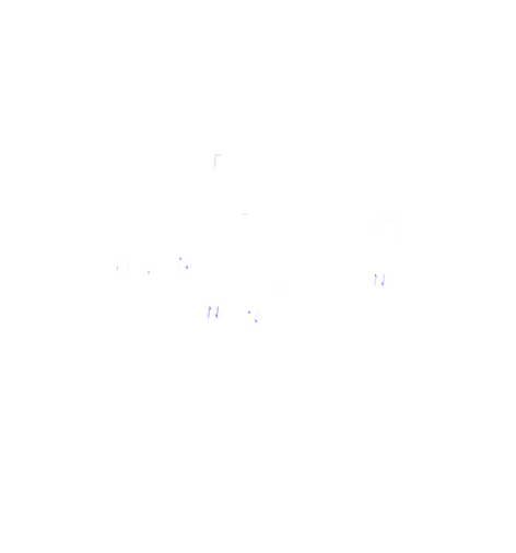 O=c1c2ccccc2n2nc(-c3ccnc(C(F)(F)F)c3)cc2n1CC(F)F